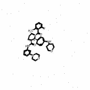 Cc1cccc(F)c1C(=O)N1CCC[C@H](C(=O)Nc2cccc(N3CCOCC3)c2)[C@@H]1C1=CC=C(NC2CCOCC2)C#CC1